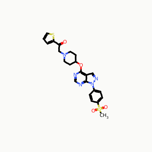 CS(=O)(=O)c1ccc(-n2ncc3c(OC4CCN(CC(=O)c5cccs5)CC4)ncnc32)cc1